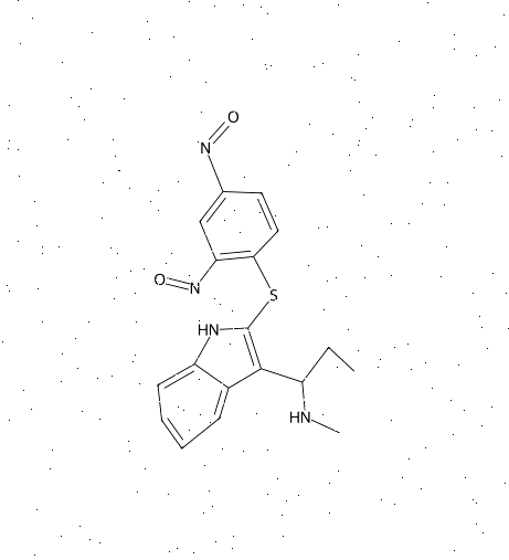 CCC(NC)c1c(Sc2ccc(N=O)cc2N=O)[nH]c2ccccc12